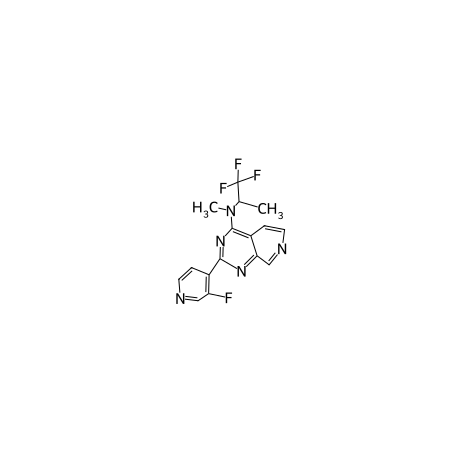 CC(N(C)c1nc(-c2ccncc2F)nc2cnccc12)C(F)(F)F